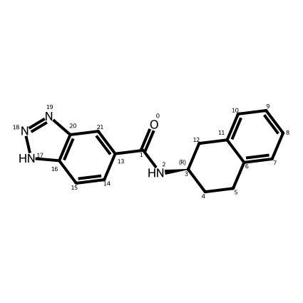 O=C(N[C@@H]1CCc2ccccc2C1)c1ccc2[nH]nnc2c1